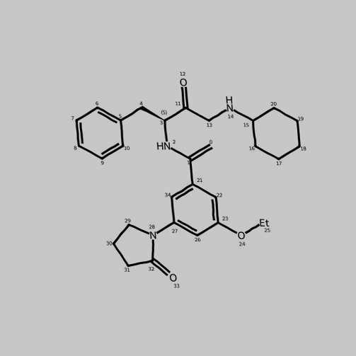 C=C(N[C@@H](Cc1ccccc1)C(=O)CNC1CCCCC1)c1cc(OCC)cc(N2CCCC2=O)c1